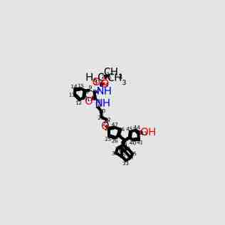 CC(C)(C)OC(=O)N[C@@H](Cc1ccccc1)C(=O)NCCCCOc1ccc(C(=C2C3CC4CC(C3)CC2C4)c2ccc(O)cc2)cc1